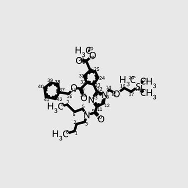 CCCCN(CCCC)C(=O)c1cn(COCC[Si](C)(C)C)c(-c2ccc(C(=O)OC)cc2C(=O)OCc2ccccc2)n1